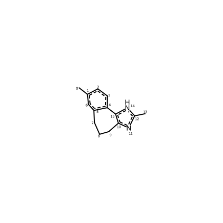 Cc1ccc2c(c1)CCCc1nc(C)[nH]c1-2